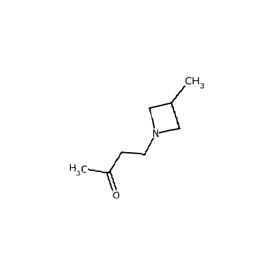 CC(=O)CCN1CC(C)C1